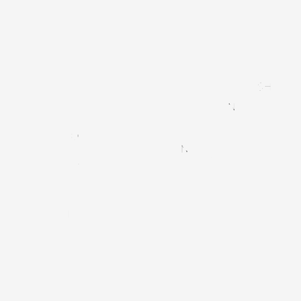 CC(I)C(=O)/C=C/CN1CCN(S)CC1